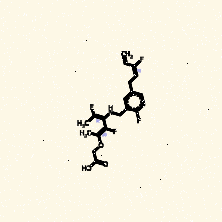 C=C/C(F)=C\Cc1ccc(F)c(CNC(=C(/C)F)/C(F)=C(\C)OCC(=O)O)c1